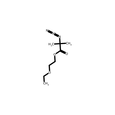 CCOCCOC(=O)C(C)(C)N=[N+]=[N-]